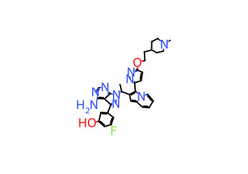 CC(c1cc2ccccn2c1-c1ccc(OCCC2CCN(C)CC2)nn1)n1nc(-c2cc(O)cc(F)c2)c2c(N)ncnc21